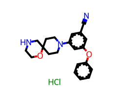 Cl.N#Cc1cc(Oc2ccccc2)cc(N2CCC3(CC2)CNCCO3)c1